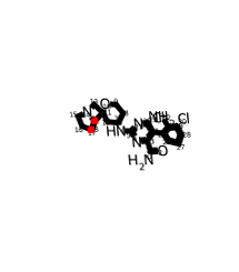 NC(=O)c1nc(NC2CCOC3(C2)CN2CCC4CCC423)nc(N)c1-c1cccc(Cl)c1Cl